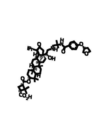 CC(C)C1=C2[C@H]3CC[C@@H]4[C@@]5(C)CC[C@H](OC(=O)[C@H]6C[C@@H](C(=O)O)C6(C)C)C(C)(C)[C@@H]5CC[C@@]4(C)[C@]3(C)CC[C@@]2([C@@H](O)CNCC(C)(C)NC(=O)c2ccc(O[C@H]3CCOC3)cc2)CC1=O